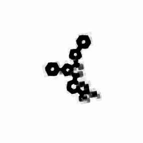 CNC(C)C1CCCC(C(=O)N2C[C@@H](c3ccccc3)C[C@H]2C(=O)N2CCC(c3ccccc3)C2)N1